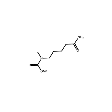 COC(=O)N(C)CCCCC(N)=O